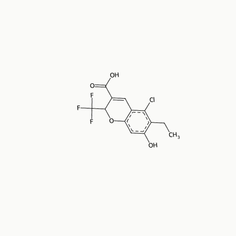 CCc1c(O)cc2c(c1Cl)C=C(C(=O)O)C(C(F)(F)F)O2